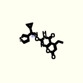 CCc1cc(=O)oc2nc(O/N=C(\c3ccsc3)C3CC3)[nH]c(=O)c12